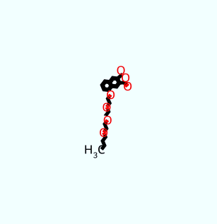 CCCCOCCOCCOCCOc1cccc2cc3c(cc12)C(=O)OC3=O